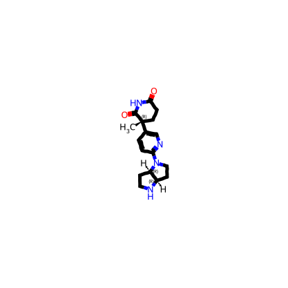 C[C@]1(c2ccc(N3CC[C@H]4NCC[C@H]43)nc2)CCC(=O)NC1=O